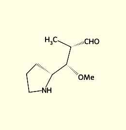 CO[C@@H]([C@H](C)C=O)[C@H]1CCCN1